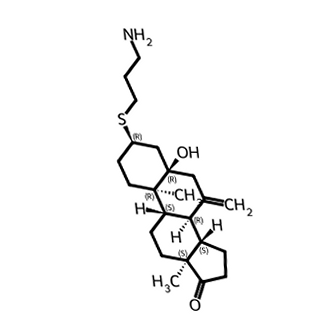 C=C1C[C@@]2(O)C[C@H](SCCCN)CC[C@]2(C)[C@H]2CC[C@]3(C)C(=O)CC[C@H]3[C@H]12